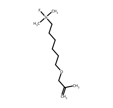 C=C(C)COCCCCCC[Si](C)(C)F